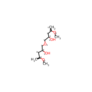 C=C(CC(O)COCC(O)CC(=C)OC)OC